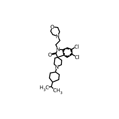 CC(C)C1CCC(N2CCC3(CC2)C(=O)N(CCN2CCOCC2)c2cc(Cl)c(Cl)cc23)CC1